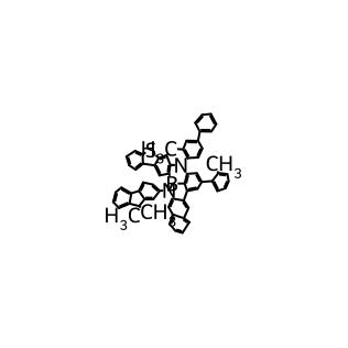 Cc1ccccc1-c1cc2c3c(c1)N(c1ccc(-c4ccccc4)cc1C)c1cc4sc5ccccc5c4cc1B3N(c1ccc3c(c1)C(C)(C)c1ccccc1-3)c1cc3ccccc3cc1-2